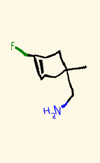 CC1(CN)C=C(F)C1